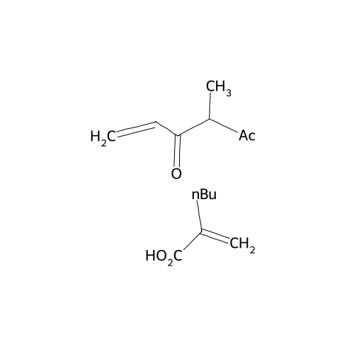 C=C(CCCC)C(=O)O.C=CC(=O)C(C)C(C)=O